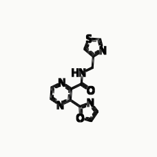 O=C(NCc1cscn1)c1nccnc1-c1ncco1